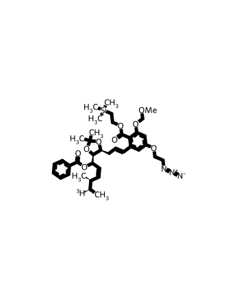 [3H][C@@H](C)[C@H](C)/C=C\C(OC(=O)c1ccccc1)[C@H]1OC(C)(C)O[C@H]1C/C=C/c1cc(OCCN=[N+]=[N-])cc(OCOC)c1C(=O)OCC[Si](C)(C)C